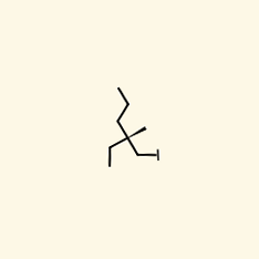 CCC[C@@](C)(CC)CI